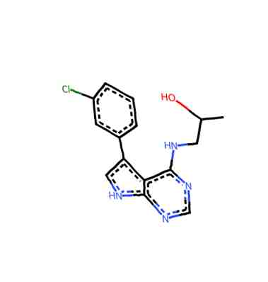 CC(O)CNc1ncnc2[nH]cc(-c3cccc(Cl)c3)c12